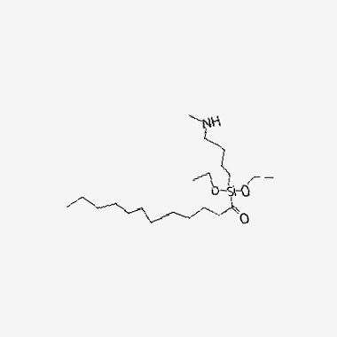 CCCCCCCCCCCC(=O)[Si](CCCCNC)(OCC)OCC